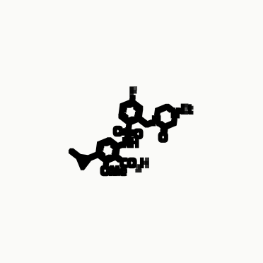 CCN1CCN(Cc2cc(F)ccc2S(=O)(=O)Nc2ccc(C3CC3C)c(OC)c2C(=O)O)C(=O)C1